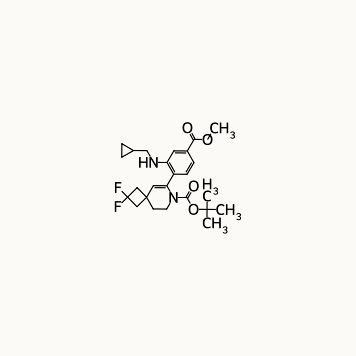 COC(=O)c1ccc(C2=CC3(CCN2C(=O)OC(C)(C)C)CC(F)(F)C3)c(NCC2CC2)c1